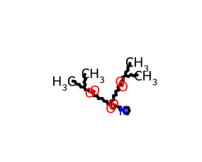 CCCCCC(CCCCC)CCOC(=O)CCCCCCCC1(CCCCCCCC(=O)OCCC(CCCCC)CCCCC)OCC(CCN2CCCCC2)O1